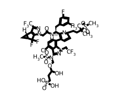 CC(C)(CCc1ccc(-c2ccc(Cl)c3c(N(COC(O)CCP(=O)(O)O)S(C)(=O)=O)nn(CC(F)(F)F)c23)c([C@H](Cc2cc(F)cc(F)c2)NC(=O)Cn2nc(C(F)(F)F)c3c2C(F)(F)C2C[C@H]32)n1)S(C)(=O)=O